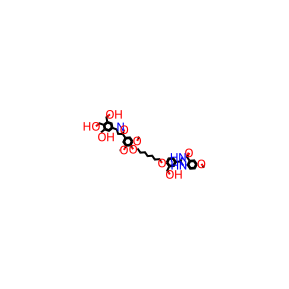 COc1ccc2c(c1)C(=O)NC(c1ccc(OCCCCCCCOc3c(OC)cc(C4CC(c5cc(CO)c(CO)c(CO)c5)=NO4)cc3OC)c(CO)c1)N2